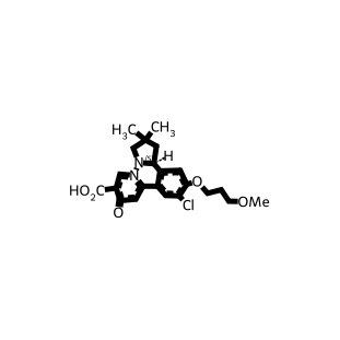 COCCCOc1cc2c(cc1Cl)-c1cc(=O)c(C(=O)O)cn1N1CC(C)(C)C[C@@H]21